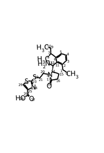 CCc1cccc(C(C)CC)c1C(N)[C@H]1CCC(=O)N1CCSc1nc(C(=O)O)cs1